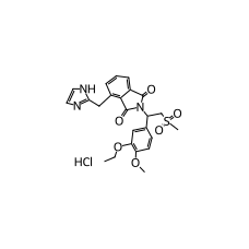 CCOc1cc(C(CS(C)(=O)=O)N2C(=O)c3cccc(Cc4ncc[nH]4)c3C2=O)ccc1OC.Cl